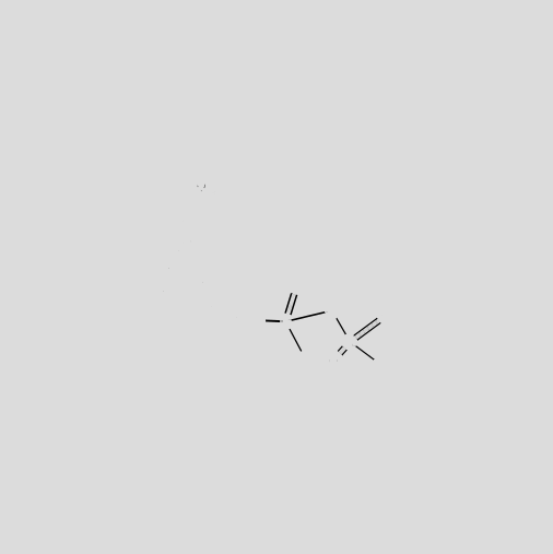 O.O.O.O.O.O.O.O=P(O)(O)OS(=O)(=O)O.[MgH2]